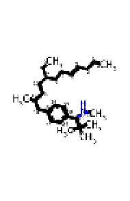 CCCC=CCCC(CC)CCC(C)Cc1ccc(C(NC)C(C)(C)C)cc1